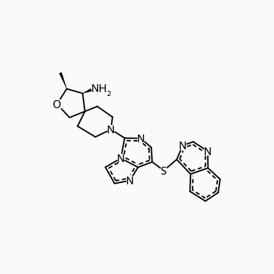 C[C@@H]1OCC2(CCN(c3ncc(Sc4ncnc5ccccc45)c4nccn34)CC2)[C@@H]1N